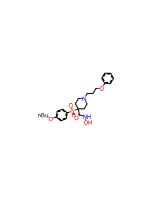 CCCCOc1ccc(S(=O)(=O)C2(C(=O)NO)CCN(CCCOc3ccccc3)CC2)cc1